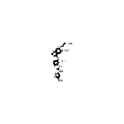 COCCOc1cc2ncnc(Sc3cccc(NC(=O)Nc4cc(C(C)(C)C)on4)c3)c2cc1OC.Cl